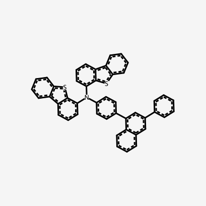 c1ccc(-c2cc(-c3ccc(N(c4cccc5c4sc4ccccc45)c4cccc5c4sc4ccccc45)cc3)c3ccccc3c2)cc1